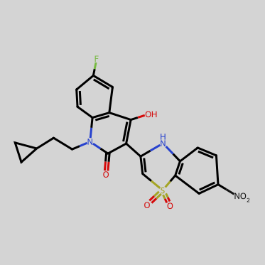 O=c1c(C2=CS(=O)(=O)c3cc([N+](=O)[O-])ccc3N2)c(O)c2cc(F)ccc2n1CCC1CC1